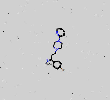 CO/N=C(/CCN1CCN(c2ccccn2)CC1)c1ccc(Br)cc1